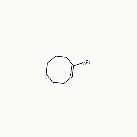 CCCC1=CCCCCCC1